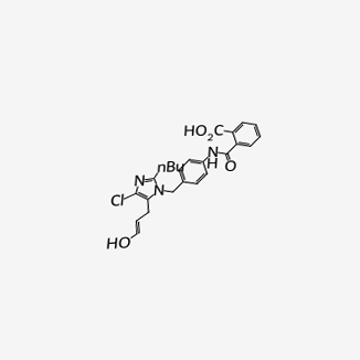 CCCCc1nc(Cl)c(CC=CO)n1Cc1ccc(NC(=O)c2ccccc2C(=O)O)cc1